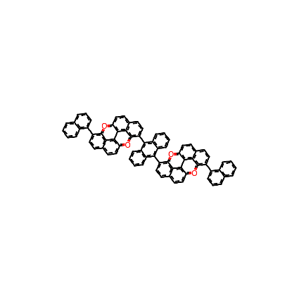 c1ccc2c(-c3ccc4ccc5oc6c(-c7c8ccccc8c(-c8ccc9ccc%10oc%11c(-c%12cccc%13ccccc%12%13)ccc%12ccc%13oc8c9c%10-c%13c%12%11)c8ccccc78)ccc7ccc8oc3c4c5-c8c76)cccc2c1